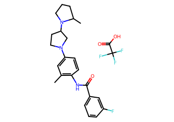 Cc1cc(N2CCC(N3CCCC3C)C2)ccc1NC(=O)c1cccc(F)c1.O=C(O)C(F)(F)F